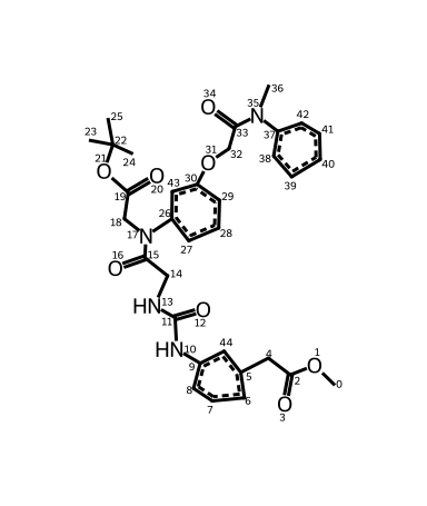 COC(=O)Cc1cccc(NC(=O)NCC(=O)N(CC(=O)OC(C)(C)C)c2cccc(OCC(=O)N(C)c3ccccc3)c2)c1